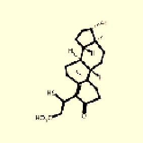 CC(=O)[C@H]1CC[C@H]2[C@@H]3CCC4=C(C(S)CC(=O)O)C(=O)CC[C@]4(C)[C@H]3CC[C@]12C